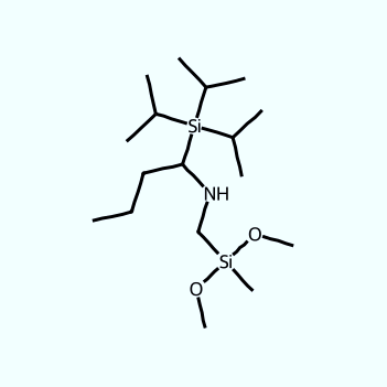 CCCC(NC[Si](C)(OC)OC)[Si](C(C)C)(C(C)C)C(C)C